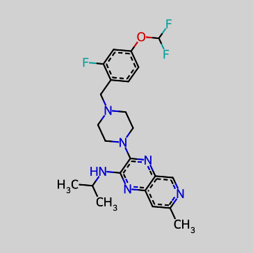 Cc1cc2nc(NC(C)C)c(N3CCN(Cc4ccc(OC(F)F)cc4F)CC3)nc2cn1